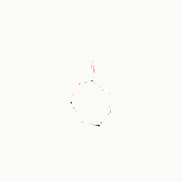 O=C1OCCCCO1